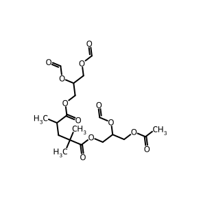 CC(=O)OCC(COC(=O)C(C)(C)CC(C)C(=O)OCC(COC=O)OC=O)OC=O